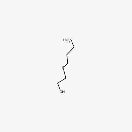 O=S(=O)(O)CCCSCCO